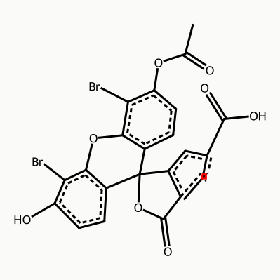 CC(=O)Oc1ccc2c(c1Br)Oc1c(ccc(O)c1Br)C21OC(=O)c2ccc(C(=O)O)cc21